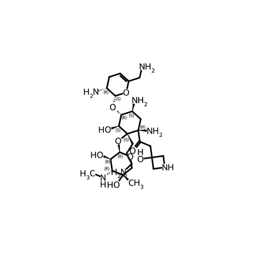 CN[C@@H]1[C@@H](O)[C@@H](O[C@]2(CCCN)[C@@H](O)[C@H](O[C@H]3OC(CN)=CC[C@H]3N)[C@@H](N)C[C@]2(N)C(=O)CC2(O)CNC2)OC[C@]1(C)O